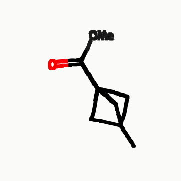 COC(=O)C12CC(C)(C1)C2